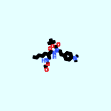 CCCCCC(CNOC=O)C(=O)NN(CCc1ccc(N(C)C)cc1)C(=O)OC(C)(C)C